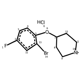 Cl.Fc1ccc(OC2CCNCC2)c(Br)c1